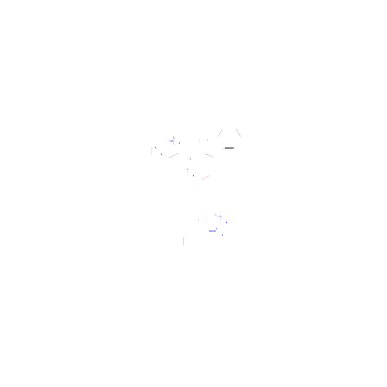 O=C(CCc1nnc(C(F)F)o1)N1CCc2[nH]cnc2[C@H]1c1cc2ccccc2o1